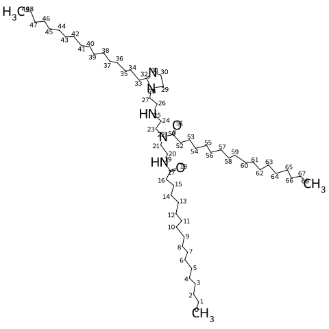 CCCCCCCCCCCCCCCCCC(=O)NCCN(CCNCCN1CCN=C1CCCCCCCCCCCCCCCCC)C(=O)CCCCCCCCCCCCCCCCC